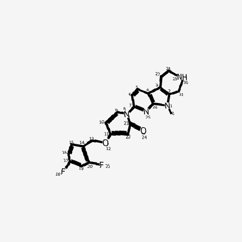 Cn1c2c(c3ccc(-n4ccc(OCc5ccc(F)cc5F)cc4=O)nc31)CCNCC2